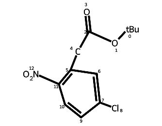 CC(C)(C)OC(=O)Cc1cc(Cl)ccc1[N+](=O)[O-]